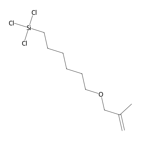 C=C(C)COCCCCCC[Si](Cl)(Cl)Cl